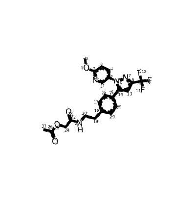 COc1ccc(-n2nc(C(F)(F)F)cc2-c2ccc(CCNC(=O)COC(C)=O)cc2)cn1